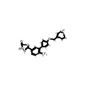 O=c1[nH]nc(-c2ccc(C(F)(F)F)c(-c3ccc(OCC4CCNCC4)cc3)c2)o1